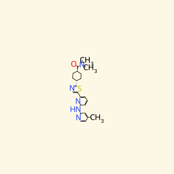 Cc1ccnc(Nc2cccc(-c3cnc([C@H]4CC[C@H](C(=O)N(C)C)CC4)s3)n2)c1